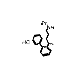 CC(C)NCCCC(C)c1ccccc1-c1ccccc1.Cl